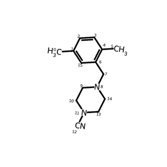 Cc1ccc(C)c(CN2CCN(C#N)CC2)c1